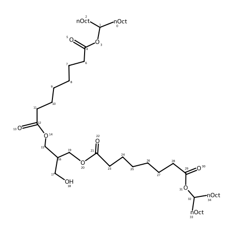 CCCCCCCCC(CCCCCCCC)OC(=O)CCCCCCC(=O)OCC(CO)COC(=O)CCCCCCC(=O)OC(CCCCCCCC)CCCCCCCC